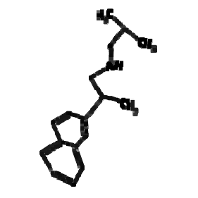 CC(C)CNCC(C)c1ccc2ccccc2c1